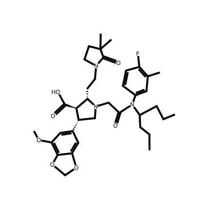 CCCC(CCC)N(C(=O)CN1C[C@H](c2cc(OC)c3c(c2)OCO3)[C@@H](C(=O)O)[C@@H]1CCN1CCC(C)(C)C1=O)c1ccc(F)c(C)c1